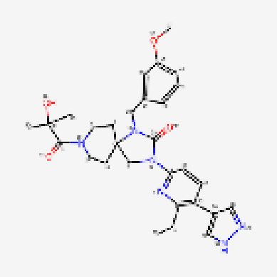 CCc1nc(N2CC3(CCN(C(=O)C(C)(C)O)CC3)N(Cc3cccc(OC)c3)C2=O)ccc1-c1cn[nH]c1